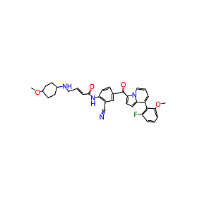 COc1cccc(F)c1-c1cccn2c(C(=O)c3ccc(NC(=O)/C=C/CNC4CCC(OC)CC4)c(C#N)c3)ccc12